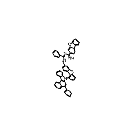 N=C(/N=C(\N=C\c1ccc2c(c1)sc1cccc(-n3c4ccccc4c4c5ccccc5c(-c5ccccc5)cc43)c12)c1ccccc1)c1ccc2c(c1)oc1ccccc12